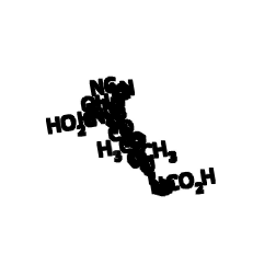 Cc1c(COc2cc(OCc3cncc(C#N)c3)c(CNC(C)(CO)C(=O)O)cc2Cl)cccc1-c1cccc(OCCCN2CCC[C@H](C(=O)O)C2)c1C